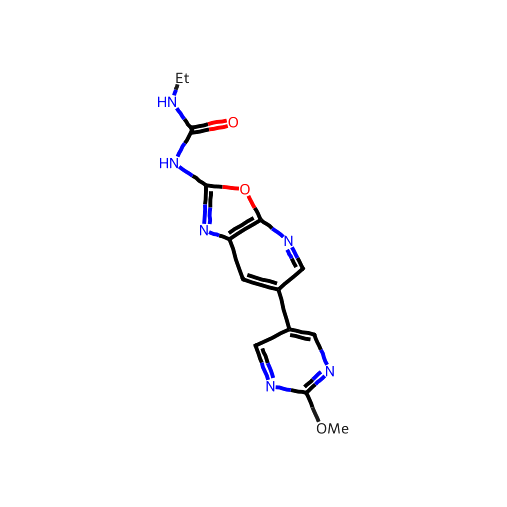 CCNC(=O)Nc1nc2cc(-c3cnc(OC)nc3)cnc2o1